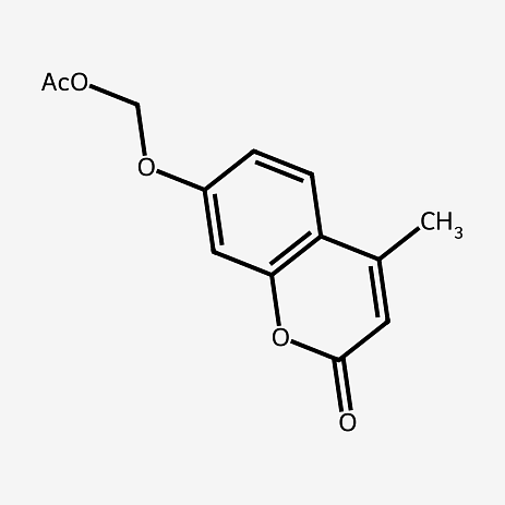 CC(=O)OCOc1ccc2c(C)cc(=O)oc2c1